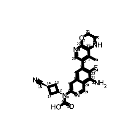 Cc1c(-c2cc3cc(N(C(=O)O)[C@H]4C[C@H](C#N)C4)ncc3c(N)c2F)cnc2c1NCCO2